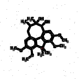 COc1cc2c(c(OC)c1OC)-c1c(cc(OC)c(OC)c1OC)[C@H](O)[C@@](C)(O)C(C)C2